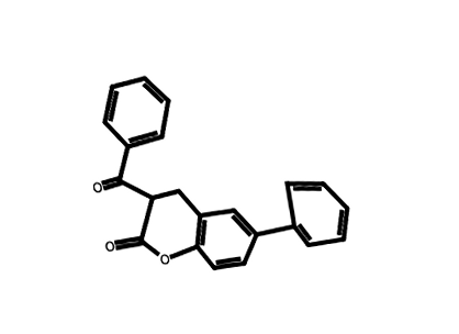 O=C1Oc2ccc(-c3ccccc3)cc2CC1C(=O)c1ccccc1